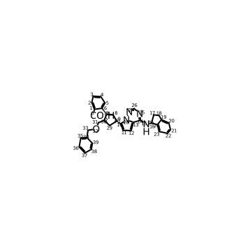 O=C(O)c1ccccc1[C@H]1C[C@@H](c2ccc3c(N[C@H]4CCc5ccccc54)ncnn23)CC1COCc1ccccc1